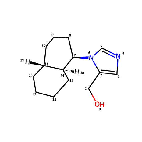 OCc1cncn1[C@@H]1CCC[C@H]2CCCC[C@@H]21